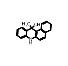 CC1(C)c2ccccc2Nc2ccc3c(c21)C=CCC3